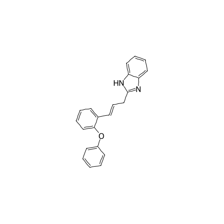 C(=Cc1ccccc1Oc1ccccc1)Cc1nc2ccccc2[nH]1